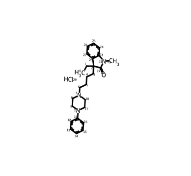 CCC1(CCCCN2CCN(c3ccccc3)CC2)C(=O)N(C)c2ccccc21.Cl